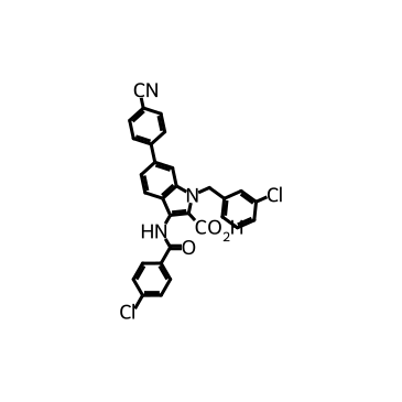 N#Cc1ccc(-c2ccc3c(NC(=O)c4ccc(Cl)cc4)c(C(=O)O)n(Cc4cccc(Cl)c4)c3c2)cc1